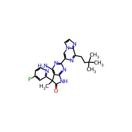 CC(C)(C)CCc1nc(-c2nc(N)c3c(n2)NC(=O)C3(C)c2cc(F)ccn2)cn2ccnc12